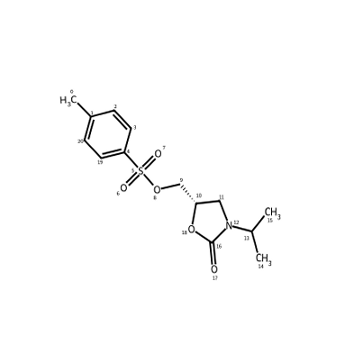 Cc1ccc(S(=O)(=O)OC[C@@H]2CN(C(C)C)C(=O)O2)cc1